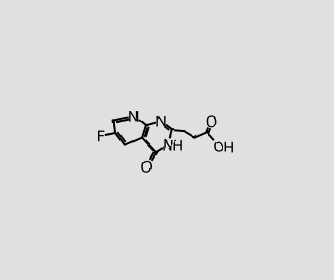 O=C(O)CCc1nc2ncc(F)cc2c(=O)[nH]1